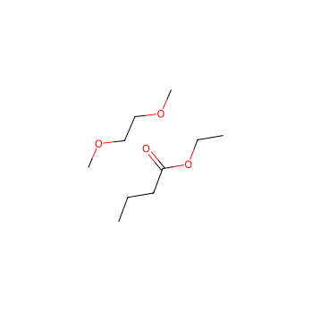 CCCC(=O)OCC.COCCOC